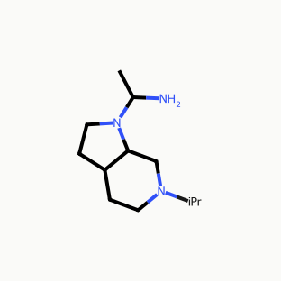 CC(C)N1CCC2CCN(C(C)N)C2C1